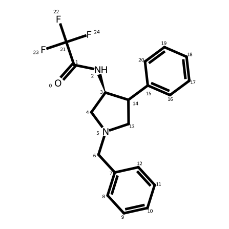 O=C(N[C@@H]1CN(Cc2ccccc2)CC1c1ccccc1)C(F)(F)F